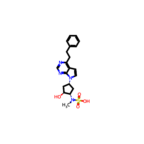 CN([C@H]1C[C@@H](n2ccc3c(CCc4ccccc4)ncnc32)C[C@@H]1O)S(=O)(=O)O